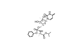 C=C1C=CN([C@@H]2S[C@H](COP(=O)(N[C@@H](C)C(=O)OC(C)C)Oc3ccccc3)[C@@H](O)[C@@]2(C)O)C(=O)N1